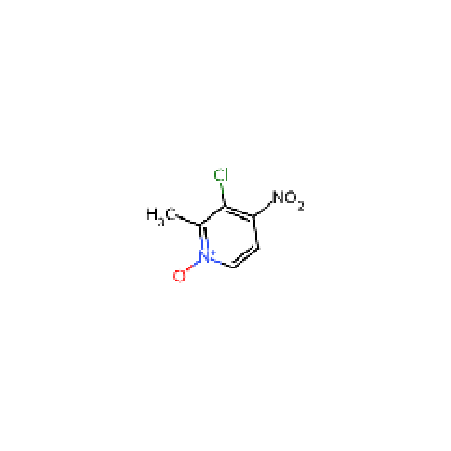 Cc1c(Cl)c([N+](=O)[O-])cc[n+]1[O-]